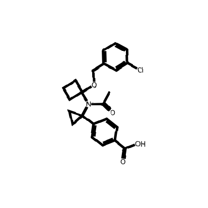 CC(=O)N(C1(OCc2cccc(Cl)c2)CCC1)C1(c2ccc(C(=O)O)cc2)CC1